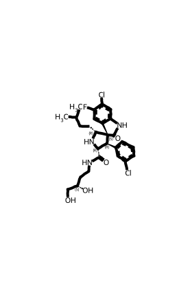 CC(C)CC[C@H]1N[C@@H](C(=O)NCC[C@H](O)CO)[C@H](c2cccc(Cl)c2)[C@@]12C(=O)Nc1cc(Cl)c(F)cc12